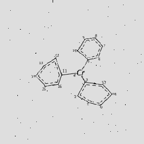 c1cc[c]([Cr]([c]2ccccc2)[c]2ccccc2)cc1